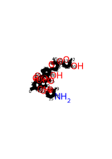 CC1=CC(=O)[C@]2(O)[C@@]34O[C@]3(C[C@@H](O[C@H]3CC[C@H](N)[C@H](C)O3)[C@]2(O)C1)C(=O)c1c(ccc([C@H]2CC[C@H](O[C@H]3CC[C@H](O)[C@H](C)O3)[C@H](C)O2)c1O)C4=O